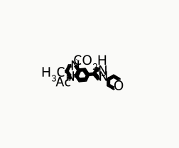 CC(=O)N1c2ccc(-c3cnn(C4CCOCC4)c3)cc2N(C(=O)O)CC1C